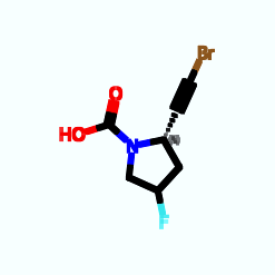 O=C(O)N1CC(F)C[C@H]1C#CBr